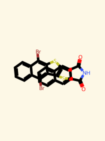 O=C1NC(=O)C2c3c4ccccc4c(c4sc5c(sc6c(Br)c7ccccc7c(Br)c65)c34)C12